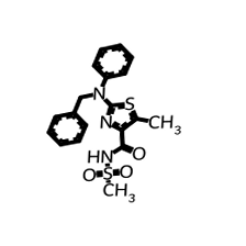 Cc1sc(N(Cc2ccccc2)c2ccccc2)nc1C(=O)NS(C)(=O)=O